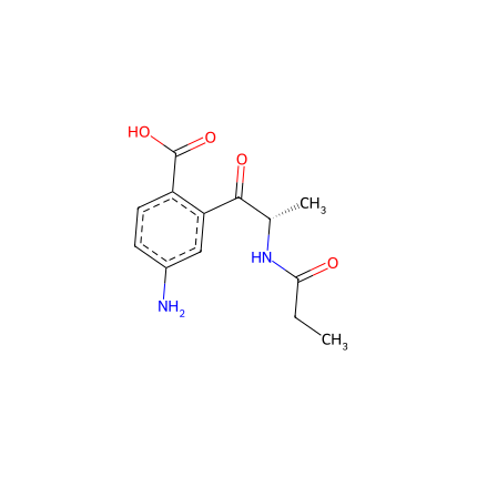 CCC(=O)N[C@@H](C)C(=O)c1cc(N)ccc1C(=O)O